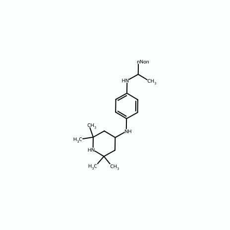 CCCCCCCCCC(C)Nc1ccc(NC2CC(C)(C)NC(C)(C)C2)cc1